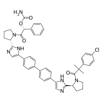 CC(C)(C(=O)N1CCC[C@H]1c1ncc(-c2ccc(-c3ccc(-c4cnc([C@@H]5CCCN5C(=O)[C@H](OC(N)=O)c5ccccc5)[nH]4)cc3)cc2)[nH]1)c1ccc(Cl)cc1